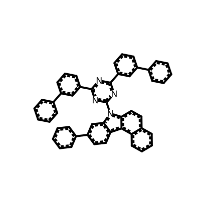 c1ccc(-c2cccc(-c3nc(-c4cccc(-c5ccccc5)c4)nc(-n4c5cc(-c6ccccc6)ccc5c5c6ccccc6ccc54)n3)c2)cc1